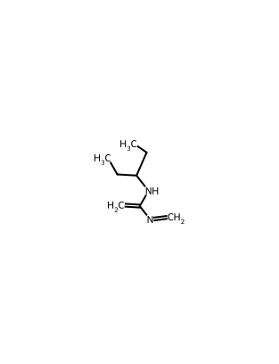 C=NC(=C)NC(CC)CC